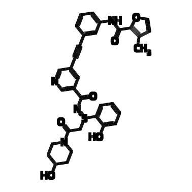 Cc1ccoc1C(=O)Nc1cccc(C#Cc2cncc(C(=O)N=S(CC(=O)N3CCC(O)CC3)c3ccccc3O)c2)c1